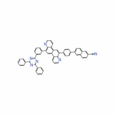 N#Cc1ccc2cc(-c3ccc(-c4cc5c6cccnc6c(-c6cccc(-c7nc(-c8ccccc8)nc(-c8ccccc8)n7)c6)cc5c5cccnc45)cc3)ccc2c1